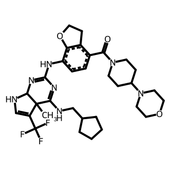 CC12C(C(F)(F)F)=CNC1N=C(Nc1ccc(C(=O)N3CCC(N4CCOCC4)CC3)c3c1OCC3)N=C2NCC1CCCC1